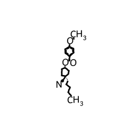 CCCCCC[C@]1(C#N)CC[C@@H](OC(=O)c2ccc(OCC)cc2)CC1